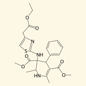 CCOC(=O)Cc1csc(NC2(C(=O)OC)C(C)NC(C)=C(C(=O)OC)C2c2ccccc2)n1